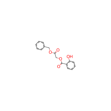 O=C(COC(=O)c1ccccc1O)OCc1ccccc1